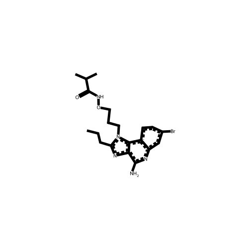 CCCc1nc2c(N)nc3cc(Br)ccc3c2n1CCCONC(=O)C(C)C